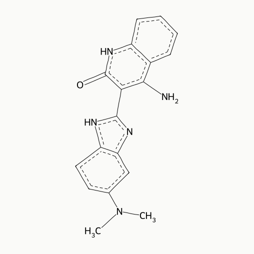 CN(C)c1ccc2[nH]c(-c3c(N)c4ccccc4[nH]c3=O)nc2c1